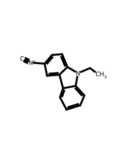 [C-]#[N+]c1ccc2c(c1)c1ccccc1n2CC